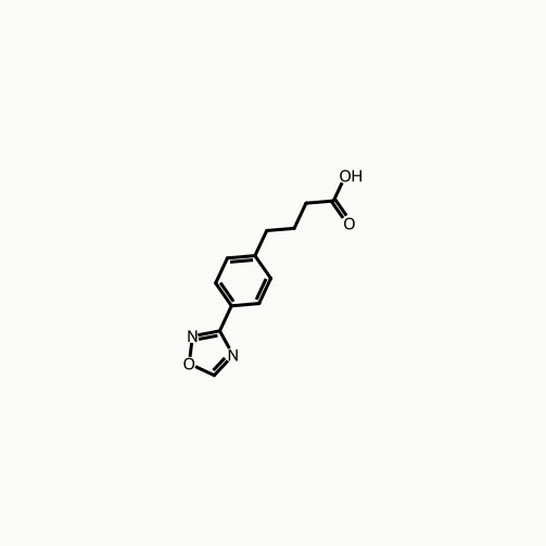 O=C(O)CCCc1ccc(-c2ncon2)cc1